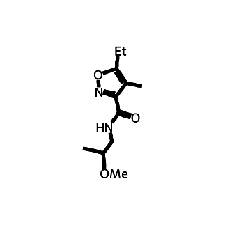 CCc1onc(C(=O)NCC(C)OC)c1C